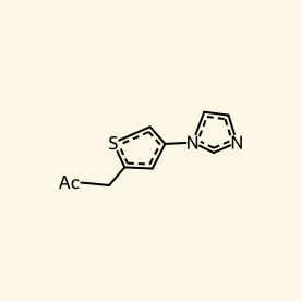 CC(=O)Cc1cc(-n2ccnc2)cs1